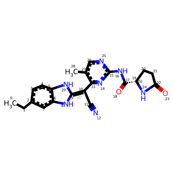 CCc1ccc2c(c1)N/C(=C(\C#N)c1nc(NC(=O)[C@@H]3CCC(=O)N3)ncc1C)N2